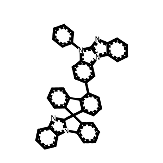 c1ccc(-n2c3ccc(-c4cccc5c4-c4ccccc4C54c5ccccc5-n5c4nc4ccccc45)cc3n3c4ccccc4nc23)cc1